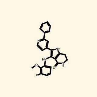 COc1c(F)cccc1Nc1c(-c2ccnc(-c3ccccc3)c2)[nH]c2c1C(=O)NCC2